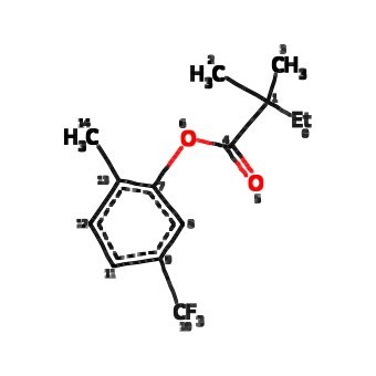 CCC(C)(C)C(=O)Oc1cc(C(F)(F)F)ccc1C